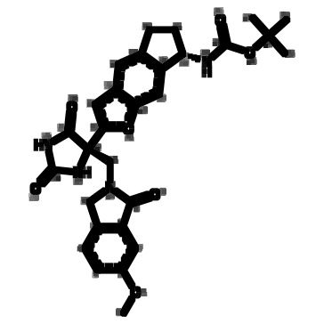 COc1ccc2c(c1)C(=O)N(C[C@@]1(c3cc4cc5c(cc4o3)[C@@H](NC(=O)OC(C)(C)C)CC5)NC(=O)NC1=O)C2